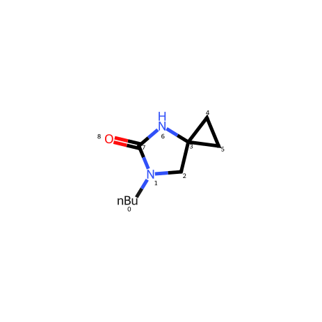 CCCCN1CC2(CC2)NC1=O